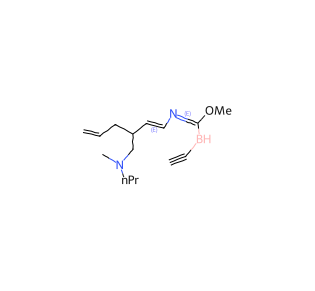 C#CB/C(=N\C=C\C(CC=C)CN(C)CCC)OC